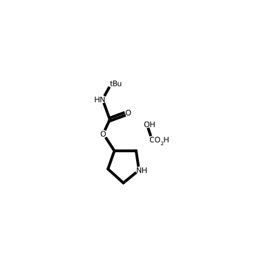 CC(C)(C)NC(=O)OC1CCNC1.O=C(O)O